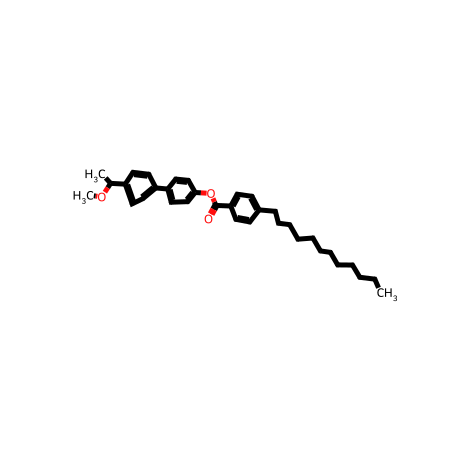 CCCCCCCCCCCCc1ccc(C(=O)Oc2ccc(-c3ccc(C(C)OC)cc3)cc2)cc1